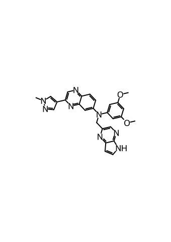 COc1cc(OC)cc(N(Cc2cnc3[nH]ccc3n2)c2ccc3ncc(-c4cnn(C)c4)nc3c2)c1